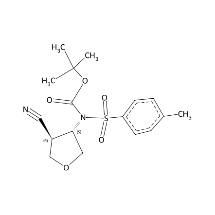 Cc1ccc(S(=O)(=O)N(C(=O)OC(C)(C)C)[C@@H]2COC[C@H]2C#N)cc1